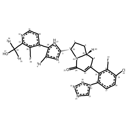 [2H]c1nc([C@@H]2CC[C@@H]3CC(c4c(-n5cnnn5)ccc(Cl)c4F)=CC(=O)N32)[nH]c1-c1ccnc(C([2H])([2H])O)c1F